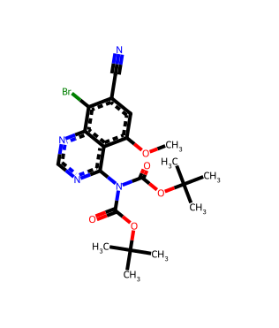 COc1cc(C#N)c(Br)c2ncnc(N(C(=O)OC(C)(C)C)C(=O)OC(C)(C)C)c12